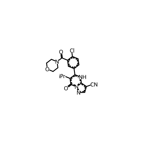 CC(C)c1c(-c2ccc(Cl)c(C(=O)N3CCOCC3)c2)[nH]c2c(C#N)cnn2c1=O